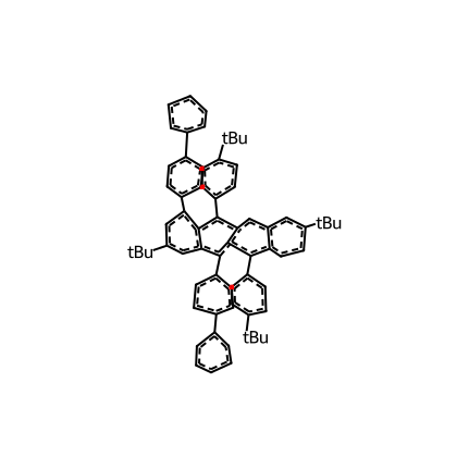 CC(C)(C)c1ccc(-c2c3ccc(C(C)(C)C)cc3cc3c(-c4ccc(C(C)(C)C)cc4)c4c(-c5ccc(-c6ccccc6)cc5)cc(C(C)(C)C)cc4c(-c4ccc(-c5ccccc5)cc4)c23)cc1